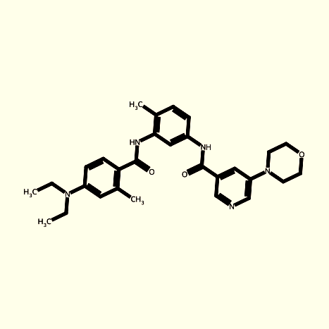 CCN(CC)c1ccc(C(=O)Nc2cc(NC(=O)c3cncc(N4CCOCC4)c3)ccc2C)c(C)c1